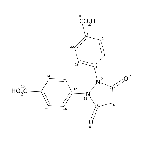 O=C(O)c1ccc(N2C(=O)CC(=O)N2c2ccc(C(=O)O)cc2)cc1